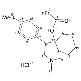 CCCC(=O)OC1(C(CN(C)C)c2ccc(OC)cc2)CCCCC1.Cl